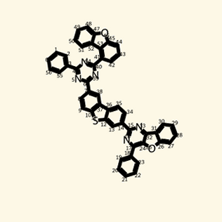 c1ccc(-c2nc(-c3ccc4sc5cc(-c6nc(-c7ccccc7)c7oc8ccccc8c7n6)ccc5c4c3)nc(-c3cccc4oc5ccccc5c34)n2)cc1